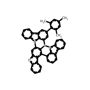 Cc1cc(C)c(-c2cc3c4c(c2)c2ccccc2n4-c2cc4oc5ccccc5c4c4c2B3n2c3ccccc3c3cccc-4c32)c(C)c1